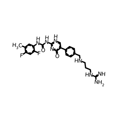 Cc1cc(NC(=O)Nc2nc(=O)c(-c3ccc(CNCCCNC(=N)N)cc3)c[nH]2)c(F)cc1F